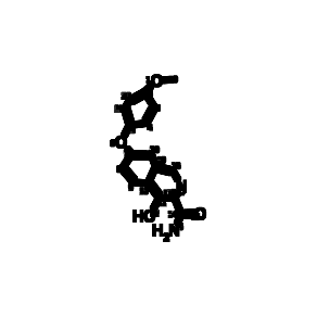 COc1ccc(Oc2ccc3c(O)c(C(N)=O)ncc3c2)cc1